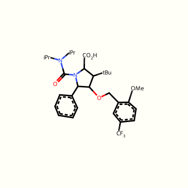 COc1ccc(C(F)(F)F)cc1COC1C(c2ccccc2)N(C(=O)N(C(C)C)C(C)C)C(C(=O)O)C1C(C)(C)C